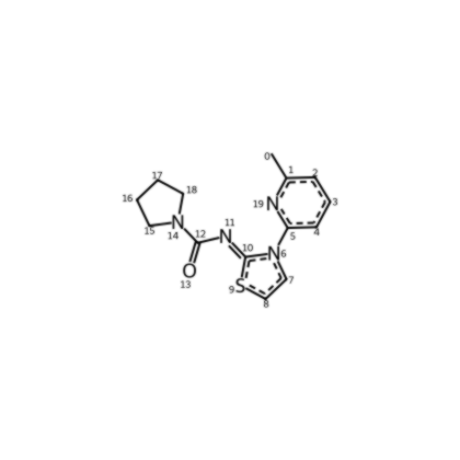 Cc1cccc(-n2ccsc2=NC(=O)N2CCCC2)n1